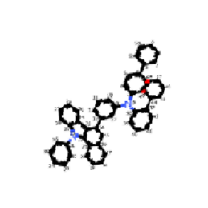 c1ccc(-c2ccc(N(c3cccc(-c4cc5ccccc5c5c4c4ccccc4n5-c4ccccc4)c3)c3ccccc3-c3ccccc3)cc2)cc1